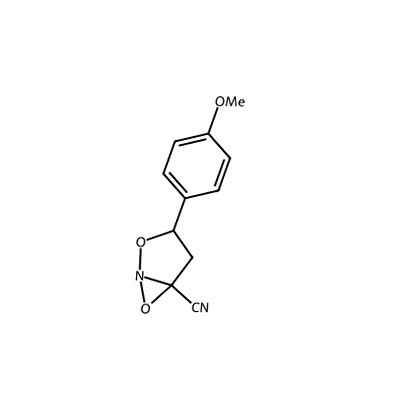 COc1ccc(C2CC3(C#N)ON3O2)cc1